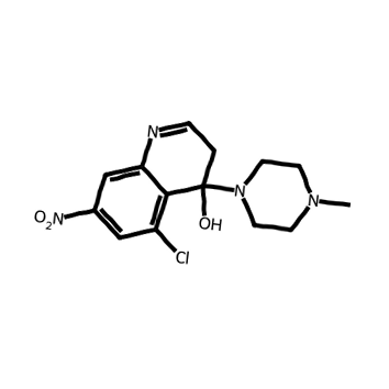 CN1CCN(C2(O)CC=Nc3cc([N+](=O)[O-])cc(Cl)c32)CC1